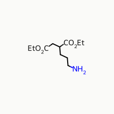 CCOC(=O)CC(CCCN)C(=O)OCC